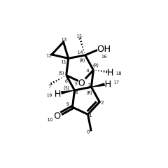 CC1=C[C@H]2[C@H]3O[C@@](C)([C@H]2C1=O)C1(CC1)[C@@]3(C)O